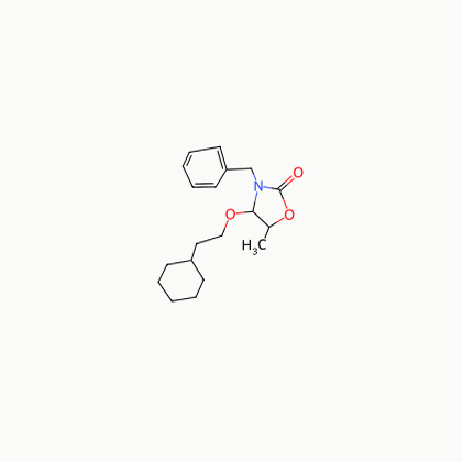 CC1OC(=O)N(Cc2ccccc2)C1OCCC1CCCCC1